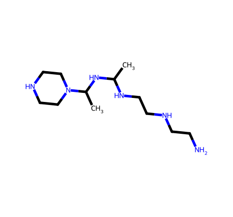 CC(NCCNCCN)NC(C)N1CCNCC1